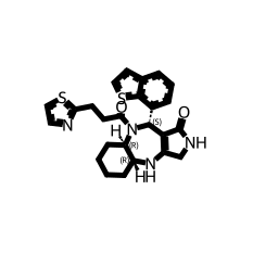 O=C1NCC2=C1[C@@H](c1cccc3ccsc13)N(C(=O)CCc1nccs1)[C@@H]1CCCC[C@H]1N2